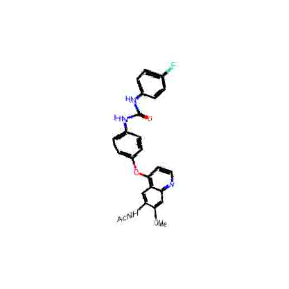 COc1cc2nccc(Oc3ccc(NC(=O)Nc4ccc(F)cc4)cc3)c2cc1NC(C)=O